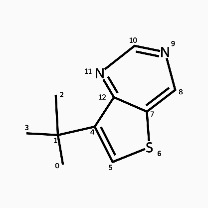 CC(C)(C)c1csc2cncnc12